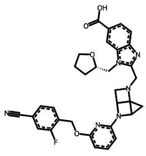 N#Cc1ccc(COc2cccc(N3C4CN(Cc5nc6ccc(C(=O)O)cc6n5C[C@@H]5CCCO5)C45CC35)n2)c(F)c1